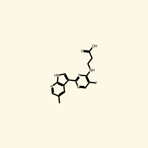 Cc1cnc2[nH]cc(-c3ncc(F)c(NCCC(=O)O)n3)c2c1